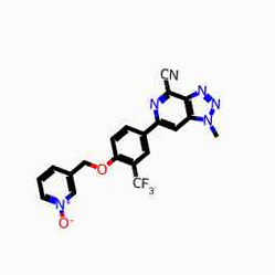 Cn1nnc2c(C#N)nc(-c3ccc(OCc4ccc[n+]([O-])c4)c(C(F)(F)F)c3)cc21